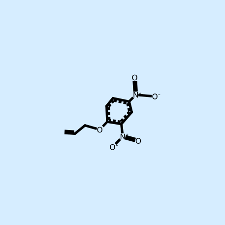 C=CCOc1ccc([N+](=O)[O-])cc1[N+](=O)[O-]